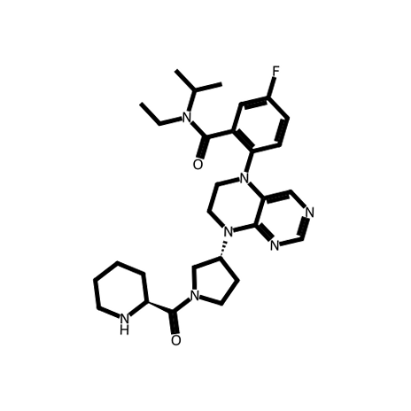 CCN(C(=O)c1cc(F)ccc1N1CCN([C@@H]2CCN(C(=O)[C@@H]3CCCCN3)C2)c2ncncc21)C(C)C